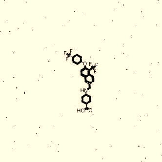 O=C(O)[C@H]1CC[C@@H](NCc2ccc3c(C(F)(F)F)c(O[C@H]4CC[C@@H](C(F)(F)F)CC4)ccc3c2)CC1